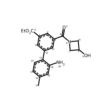 CCOC(=O)c1cc(C(=O)N2CC(O)C2)cc(-c2ccc(C)cc2N)c1